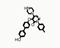 Cc1ccc(-n2ncc(N3CCNCC3)c(Oc3ccc(-c4ccc(O)cc4)cc3)c2=O)cc1